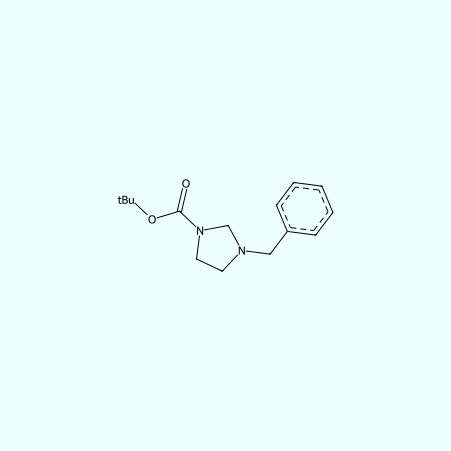 CC(C)(C)OC(=O)N1CCN(Cc2ccccc2)C1